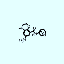 CN1CCOc2c(C(=O)NC3CN4CCC3CC4)cc(N)cc21